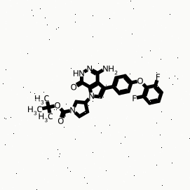 CC(C)(C)OC(=O)N1CCC(n2cc(-c3ccc(Oc4c(F)cccc4F)cc3)c3c(N)n[nH]c(=O)c32)C1